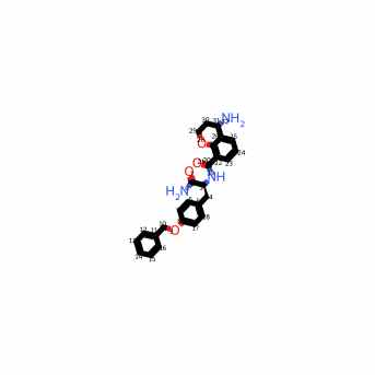 NC(=O)[C@H](Cc1ccc(OCc2ccccc2)cc1)NC(=O)c1cccc2c1OCCC2N